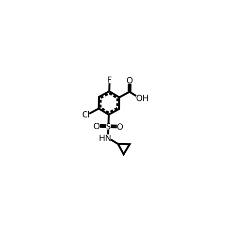 O=C(O)c1cc(S(=O)(=O)NC2CC2)c(Cl)cc1F